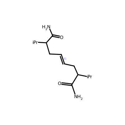 CC(C)C(C/C=C/CC(C(N)=O)C(C)C)C(N)=O